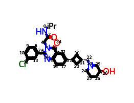 CC(C)NC(=O)Cn1c(-c2cccc(Cl)c2)nc2ccc([C@H]3C[C@@H](CN4CCC[C@H](O)C4)C3)cc2c1=O